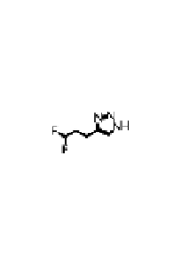 FC(F)CCc1c[nH]nn1